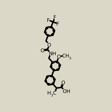 COc1ccc(-c2cccc(C(C)C(=O)O)c2)cc1CNC(=O)OCc1ccc(C(F)(F)F)cc1